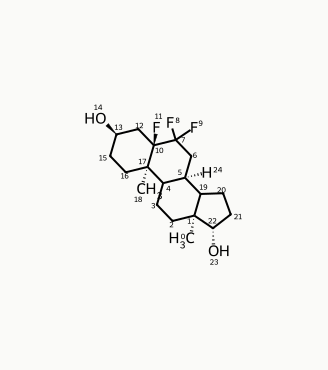 C[C@]12CCC3[C@@H](CC(F)(F)[C@@]4(F)C[C@H](O)CC[C@]34C)C1CC[C@@H]2O